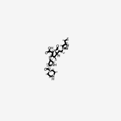 C[C@H]([C@H]1C(=O)N2C(C(=O)O)=C(SC3CN[C@H](C(=O)N4CCNCC4)C3)[C@H](C)[C@H]12)n1cc(CF)nn1